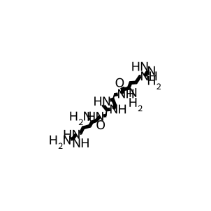 N=C(N)NCCC[C@H](N)C(=O)NC[C@H]1CN[C@@H](CNC(=O)[C@@H](N)CCCNC(=N)N)CN1